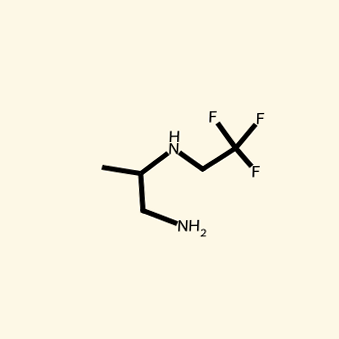 CC(CN)NCC(F)(F)F